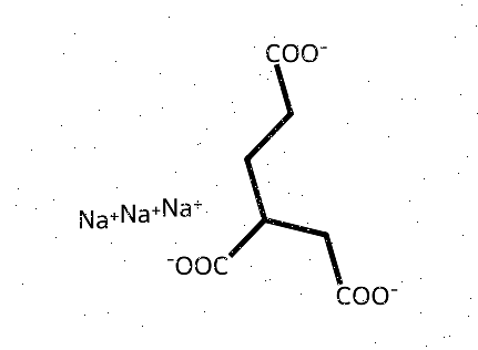 O=C([O-])CCC(CC(=O)[O-])C(=O)[O-].[Na+].[Na+].[Na+]